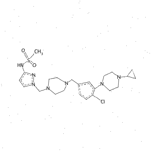 CS(=O)(=O)Nc1ccn(CN2CCN(Cc3ccc(Cl)c(N4CCN(C5CC5)CC4)c3)CC2)n1